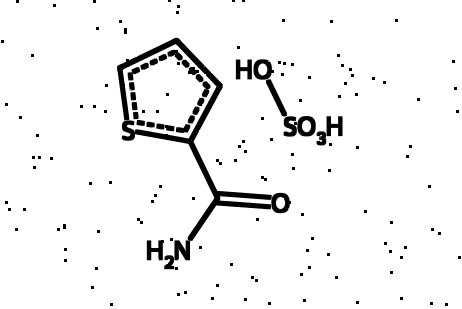 NC(=O)c1cccs1.O=S(=O)(O)O